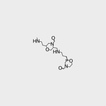 CNCCC1CN(C=O)C(CNCCC[C@@H]2CN(C=O)CCO2)CO1